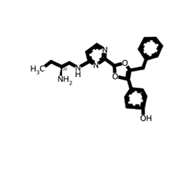 CC[C@H](N)CNc1ccnc(C2OC(Cc3ccccc3)=C(c3ccc(O)cc3)O2)n1